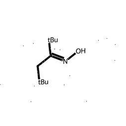 CC(C)(C)CC(=NO)C(C)(C)C